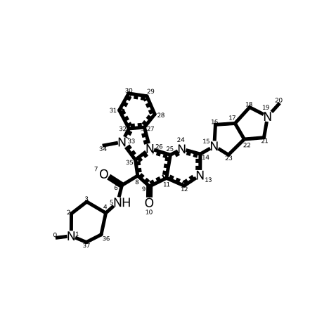 CN1CCC(NC(=O)c2c(=O)c3cnc(N4CC5CN(C)CC5C4)nc3n3c4ccccc4n(C)c23)CC1